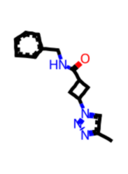 Cc1cn(C2CC(C(=O)NCc3ccccc3)C2)nn1